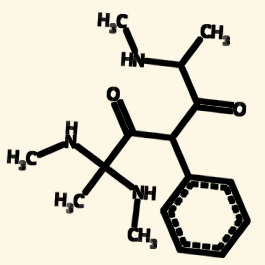 CNC(C)C(=O)C(C(=O)C(C)(NC)NC)c1ccccc1